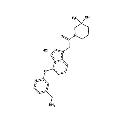 Cl.NCc1ccnc(Oc2cccc3c2ccn3CC(=O)N2CCCC(O)(C(F)(F)F)C2)c1